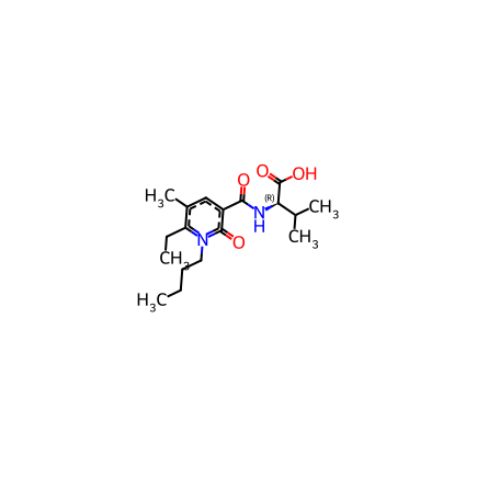 CCCCn1c(CC)c(C)cc(C(=O)N[C@@H](C(=O)O)C(C)C)c1=O